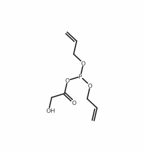 C=CCOP(OCC=C)OC(=O)CO